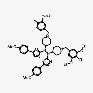 CCOc1cc(CN2CCC(N(c3ncc(-c4ccc(OC)cc4)o3)N(c3ncc(-c4ccc(OC)cc4)o3)C3CCN(Cc4cc(OCC)c(Cl)c(OCC)c4)CC3)CC2)ccc1C